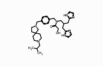 CC(C)CN1CCC2(CC1)CCN(Cc1ccc(CN(CC(Cc3ncc[nH]3)Cc3ncc[nH]3)C(=O)CO)cc1)C2